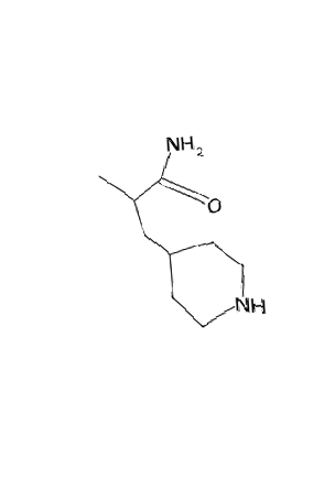 CC(CC1CCNCC1)C(N)=O